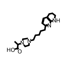 CC(C(=O)O)N1CCN(CCCCCc2ccc3c(n2)NCCC3)CC1